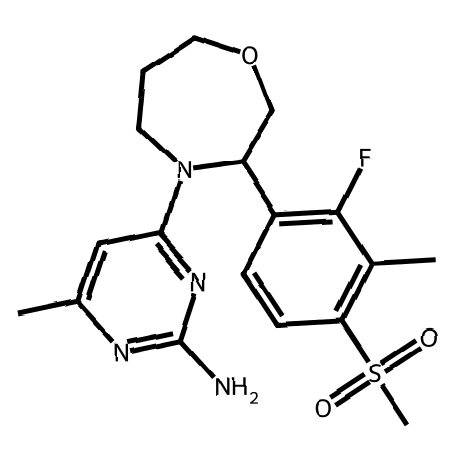 Cc1cc(N2CCCOCC2c2ccc(S(C)(=O)=O)c(C)c2F)nc(N)n1